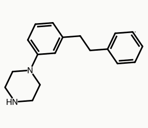 [c]1cccc(CCc2cccc(N3CCNCC3)c2)c1